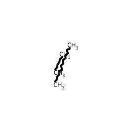 CCCCCCCC.CCCCCCCCCCCCCCCC